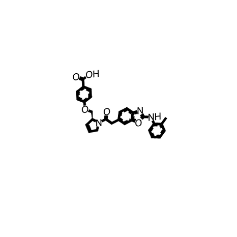 Cc1ccccc1Nc1nc2ccc(CC(=O)N3CC=C[C@H]3COc3ccc(C(=O)O)cc3)cc2o1